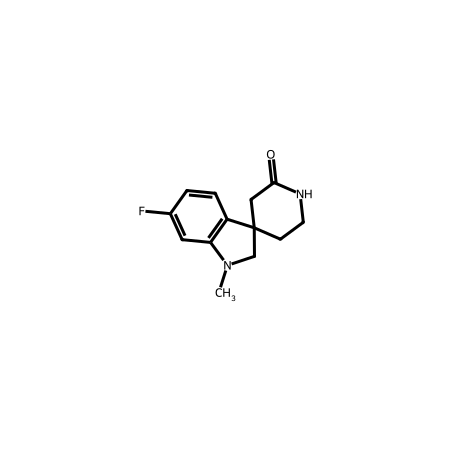 CN1CC2(CCNC(=O)C2)c2ccc(F)cc21